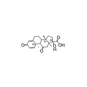 CC12CC(=O)C3C(CCC4=CC(=O)C=C[C@@]43C)[C@]1(C)CC[C@]2(O)C(=O)O